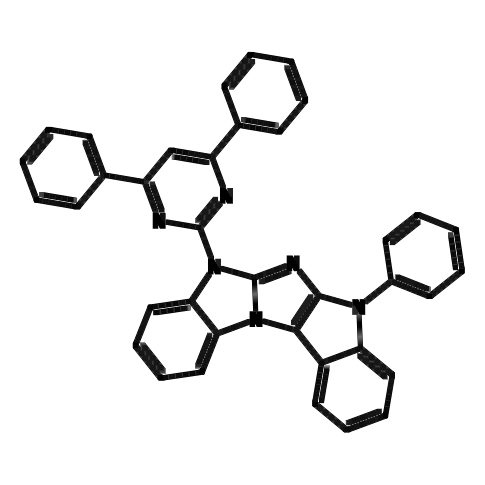 c1ccc(-c2cc(-c3ccccc3)nc(-n3c4ccccc4n4c5c6ccccc6n(-c6ccccc6)c5nc34)n2)cc1